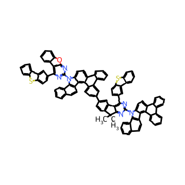 CC1(C)c2ccc(-c3ccc4c(c3)c3ccccc3c3ccc5c(c6ccc7ccccc7c6n5-c5nc(-c6ccc7sc8ccccc8c7c6)c6c(n5)oc5ccccc56)c34)cc2-c2c(-c3ccc4sc5ccccc5c4c3)nc(-n3c4ccc5c6ccccc6c6ccccc6c5c4c4ccc5ccccc5c43)nc21